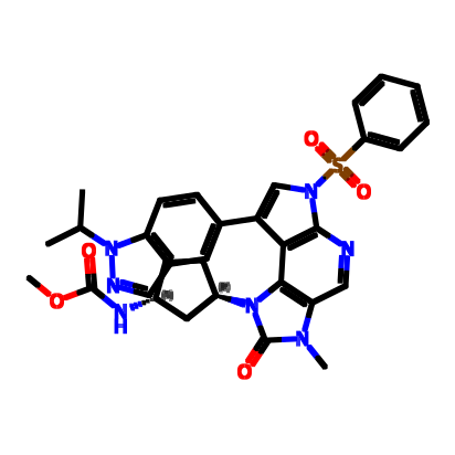 COC(=O)N[C@@H]1CC[C@@H](n2c(=O)n(C)c3cnc4c(c(-c5ccc6c(cnn6C(C)C)c5)cn4S(=O)(=O)c4ccccc4)c32)C1